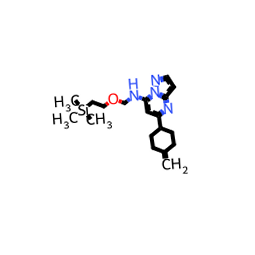 C=C1CCC(c2cc(NCOCC[Si](C)(C)C)n3nccc3n2)CC1